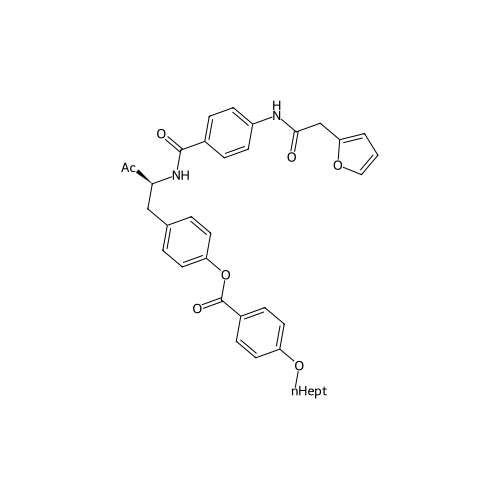 CCCCCCCOc1ccc(C(=O)Oc2ccc(C[C@H](NC(=O)c3ccc(NC(=O)Cc4ccco4)cc3)C(C)=O)cc2)cc1